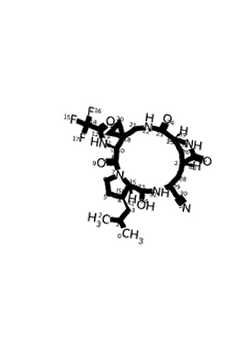 CC(C)C[C@H]1CCN2C(=O)[C@@H](NC(=O)C(F)(F)F)C3(CC3)CNC(=O)[C@@H]3C[C@@H](CC(C#N)NC(O)[C@H]12)C(=O)N3